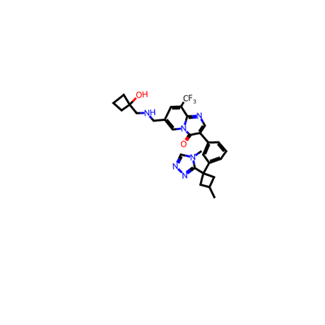 CC1CC(c2cccc(-c3cnc4c(C(F)(F)F)cc(CNCC5(O)CCC5)cn4c3=O)c2)(c2nncn2C)C1